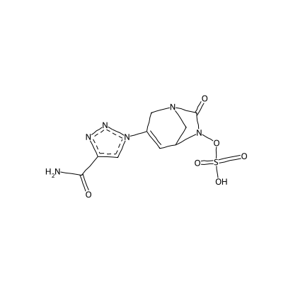 NC(=O)c1cn(C2=CC3CN(C2)C(=O)N3OS(=O)(=O)O)nn1